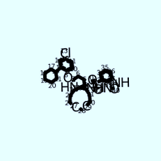 O=S(=O)(NC1CCC(Oc2ccc(Cl)cc2C2CCCCC2)NC12CCCCCCCCC2)c1cccc2c1NON2